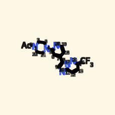 CC(=O)N1CCN(c2cc(-c3cnc4ccc(C(F)(F)F)nn34)ccn2)CC1